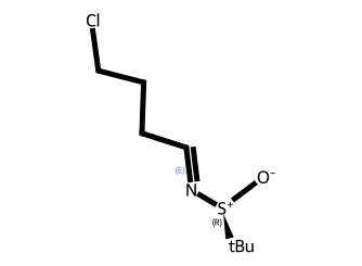 CC(C)(C)[S@+]([O-])/N=C/CCCCl